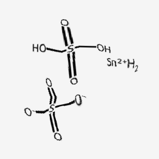 O=S(=O)(O)O.O=S(=O)([O-])[O-].[SnH2+2]